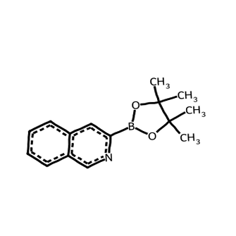 CC1(C)OB(c2cc3ccccc3cn2)OC1(C)C